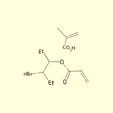 C=C(C)C(=O)O.C=CC(=O)OC(CC)C(CC)CCCC